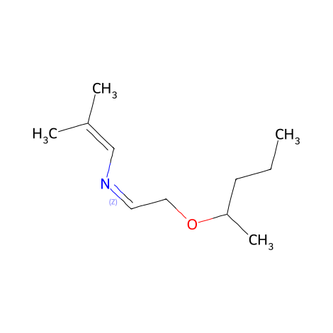 CCCC(C)OC/C=N\C=C(C)C